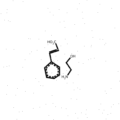 NCCO.O=C(O)C=Cc1ccccc1